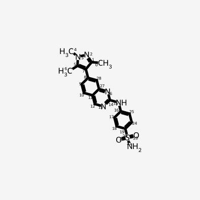 Cc1nn(C)c(C)c1-c1ccc2cnc(Nc3ccc(S(N)(=O)=O)cc3)nc2c1